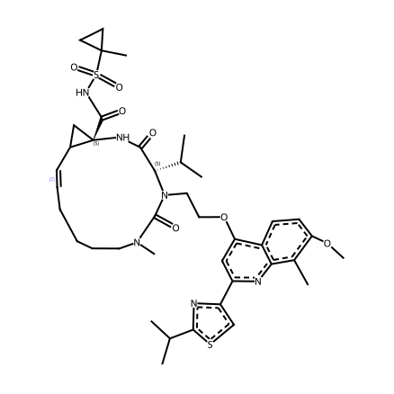 COc1ccc2c(OCCN3C(=O)N(C)CCCC/C=C\C4C[C@]4(C(=O)NS(=O)(=O)C4(C)CC4)NC(=O)[C@@H]3C(C)C)cc(-c3csc(C(C)C)n3)nc2c1C